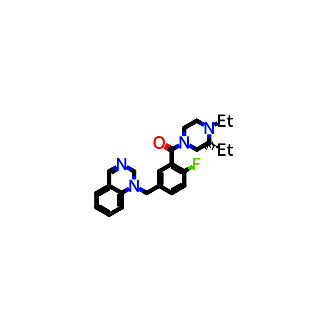 CC[C@@H]1CN(C(=O)c2cc(CN3CN=Cc4ccccc43)ccc2F)CCN1CC